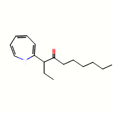 CCCCCCC(=O)C(CC)C1=CC=CC=CN1